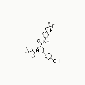 CC(C)(C)OC(=O)N1C[C@@H](C(=O)Nc2ccc(OC(F)(F)F)cc2)C[C@H](c2ccc(O)cc2)C1